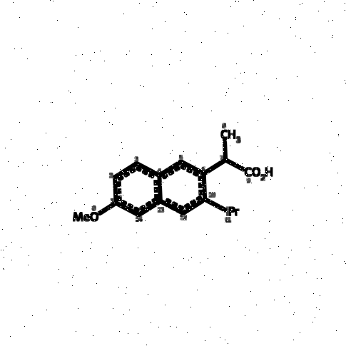 COc1ccc2cc(C(C)C(=O)O)c(C(C)C)cc2c1